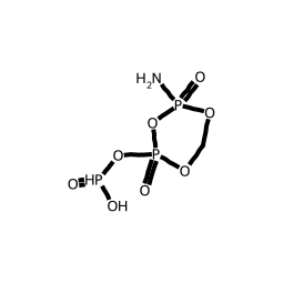 NP1(=O)OCOP(=O)(O[PH](=O)O)O1